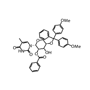 COc1ccc(C(O[C@@H]2CO[C@@H](n3cc(C)c(=O)[nH]c3=O)[C@H](OC(=O)c3ccccc3)[C@@H]2O)(c2ccccc2)c2ccc(OC)cc2)cc1